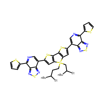 CCCCC(CC)CCS1(CC(CC)CCCC)c2cc(-c3cnc(-c4cccs4)c4nsnc34)sc2-c2sc(-c3cnc(-c4cccs4)c4nsnc34)cc21